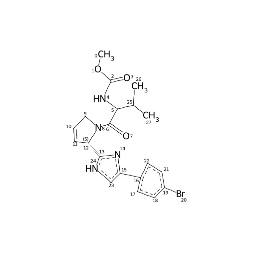 COC(=O)NC(C(=O)N1CC=C[C@H]1c1nc(-c2ccc(Br)cc2)c[nH]1)C(C)C